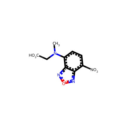 CN(CC(=O)O)c1ccc([N+](=O)[O-])c2nonc12